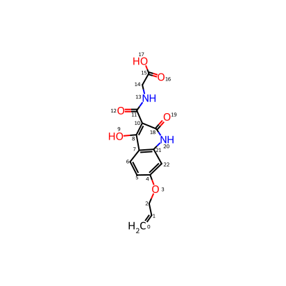 C=CCOc1ccc2c(O)c(C(=O)NCC(=O)O)c(=O)[nH]c2c1